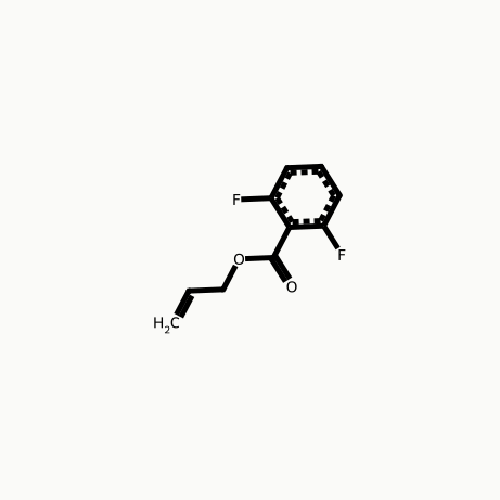 C=CCOC(=O)c1c(F)cccc1F